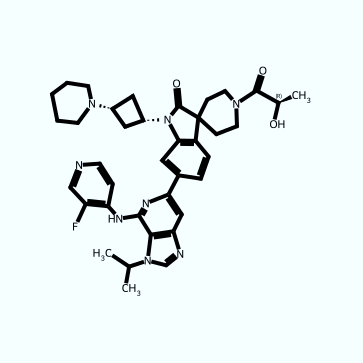 CC(C)n1cnc2cc(-c3ccc4c(c3)N([C@H]3C[C@@H](N5CCCCC5)C3)C(=O)C43CCN(C(=O)[C@@H](C)O)CC3)nc(Nc3ccncc3F)c21